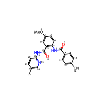 COc1ccc(NC(=O)c2ccc(C#N)cc2)c(C(=O)Nc2ccc(C)cn2)c1